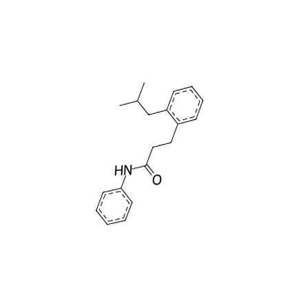 CC(C)Cc1ccccc1CCC(=O)Nc1ccccc1